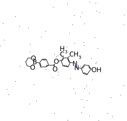 Cc1c(/N=N/c2ccc(O)cc2)ccc(OC(=O)c2ccc(B3OCCCO3)cc2)c1C